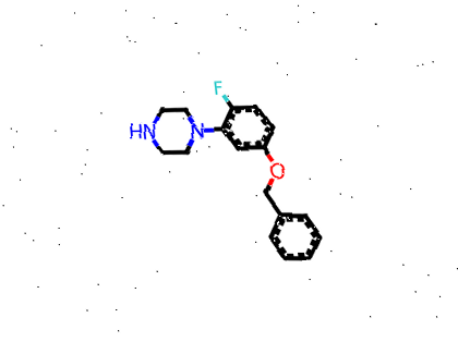 Fc1ccc(OCc2ccccc2)cc1N1CCNCC1